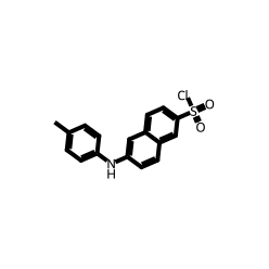 Cc1ccc(Nc2ccc3cc(S(=O)(=O)Cl)ccc3c2)cc1